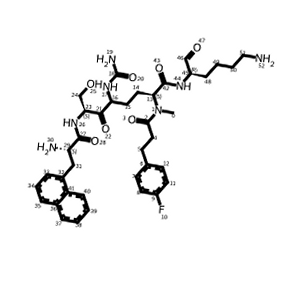 CN(C(=O)CCc1ccc(F)cc1)[C@@H](CCC(NC(N)=O)C(=O)[C@H](CO)NC(=O)[C@@H](N)Cc1cccc2ccccc12)C(=O)N[C@@H]([C]=O)CCCCN